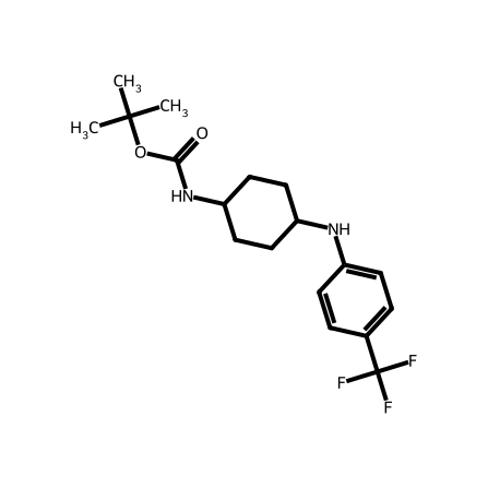 CC(C)(C)OC(=O)NC1CCC(Nc2ccc(C(F)(F)F)cc2)CC1